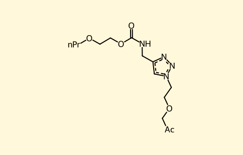 CCCOCCOC(=O)NCc1cn(CCOCC(C)=O)nn1